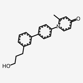 Cc1cc(=O)ccn1-c1ccc(-c2cccc(CCCO)c2)cc1